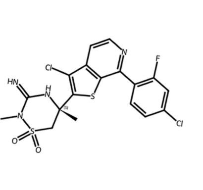 CN1C(=N)N[C@](C)(c2sc3c(-c4ccc(Cl)cc4F)nccc3c2Cl)CS1(=O)=O